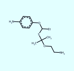 CCC(Oc1ccc(N)cc1)SC(C)(C)OCCN